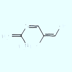 C=C(N)/N=C\C(C)=C/C